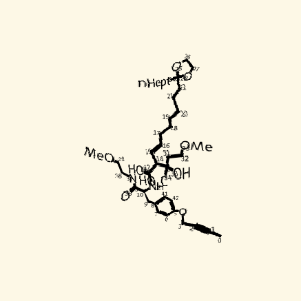 CC#CCOc1ccc(C[C@H](NC(=O)C(C=CCCCCCCC2(CCCCCCC)OCCO2)C(O)(CCOC)C(=O)O)C(=O)NCCOC)cc1